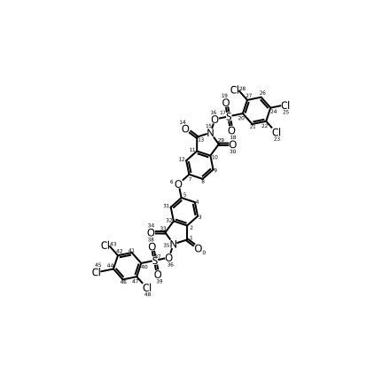 O=C1c2ccc(Oc3ccc4c(c3)C(=O)N(OS(=O)(=O)c3cc(Cl)c(Cl)cc3Cl)C4=O)cc2C(=O)N1OS(=O)(=O)c1cc(Cl)c(Cl)cc1Cl